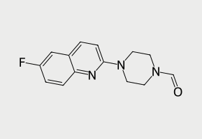 O=CN1CCN(c2ccc3cc(F)ccc3n2)CC1